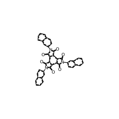 O=c1c2c3c(=O)n(-c4ccc5ccccc5c4)c(=O)c3c3c(=O)n(-c4ccc5ccccc5c4)c(=O)c3c2c(=O)n1-c1ccc2ccccc2c1